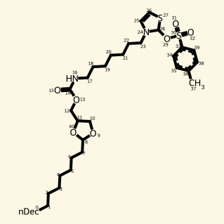 CCCCCCCCCCCCCCCCCC1OCC(COC(=O)NCCCCCCCN2C=CSC2OS(=O)(=O)c2ccc(C)cc2)O1